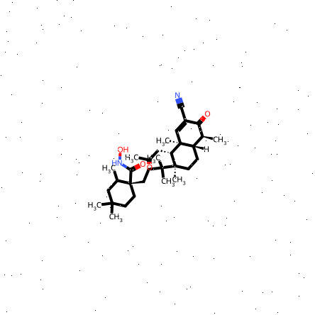 CC(=O)C[C@@H]1[C@@]2(C)C=C(C#N)C(=O)[C@@H](C)[C@@H]2CC[C@@]1(C)C(C)(C)CC[C@@]1(C(=O)NO)CCC(C)(C)CC1C